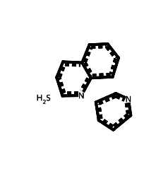 S.c1ccc2ncccc2c1.c1ccncc1